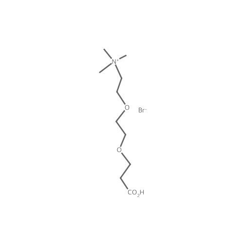 C[N+](C)(C)CCOCCOCCC(=O)O.[Br-]